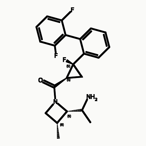 CC(N)[C@@H]1[C@H](C)CN1C(=O)[C@@H]1C[C@@]1(F)c1ccccc1-c1c(F)cccc1F